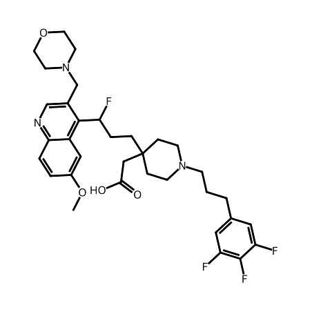 COc1ccc2ncc(CN3CCOCC3)c(C(F)CCC3(CC(=O)O)CCN(CCCc4cc(F)c(F)c(F)c4)CC3)c2c1